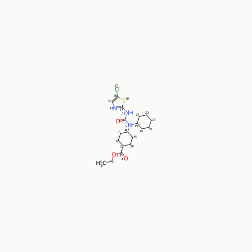 CCOC(=O)C1CCC(N(C(=O)Nc2ncc(Cl)s2)C2CCCCC2)CC1